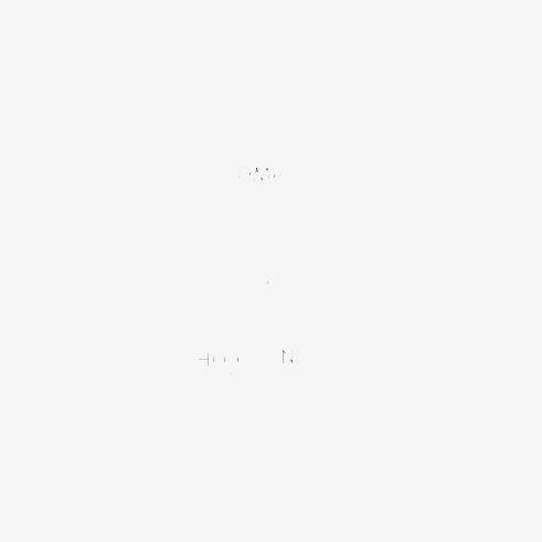 COc1ccc(COc2cc(C(=O)O)nc3ccccc23)cc1